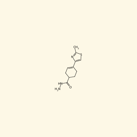 Cc1nc(C2=CCC(C(=O)NN)CC2)cs1